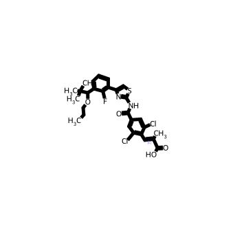 CCCOC(c1cccc(-c2csc(NC(=O)c3cc(Cl)c(/C=C(\C)C(=O)O)c(Cl)c3)n2)c1F)C(C)(C)C